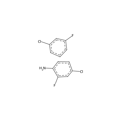 Fc1cccc(Cl)c1.Nc1ccc(Cl)cc1F